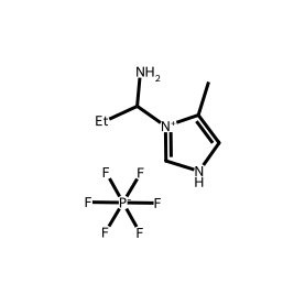 CCC(N)[n+]1c[nH]cc1C.F[P-](F)(F)(F)(F)F